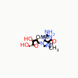 [2H]C12C(=O)N=C(N)N=C1N([C@@H]1O[C@H](CO)[C@@H](O)[C@H]1OC)C=[N+]2C